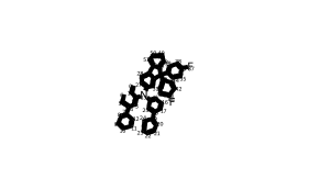 C=C/C(=C\C(=C/C)c1ccccc1)N(c1cccc(-c2ccccc2)c1)c1ccc2c(c1)C(c1ccc(F)cc1)(c1ccc(F)cc1)c1ccccc1-2